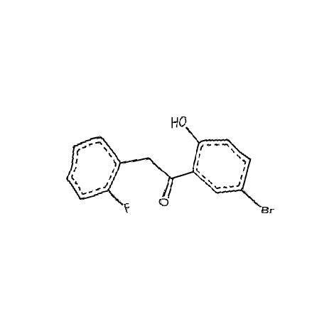 O=C(Cc1ccccc1F)c1cc(Br)ccc1O